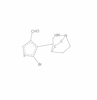 O=Cc1csc(Br)c1C1CNN2CCC1CC2